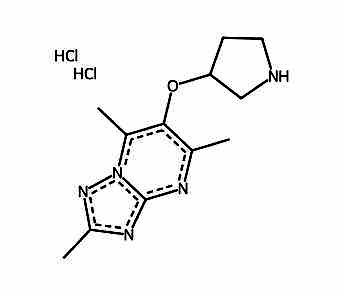 Cc1nc2nc(C)c(OC3CCNC3)c(C)n2n1.Cl.Cl